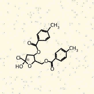 Cc1ccc(C(=O)OCC2O[C@](O)(Cl)CC2OC(=O)c2ccc(C)cc2)cc1